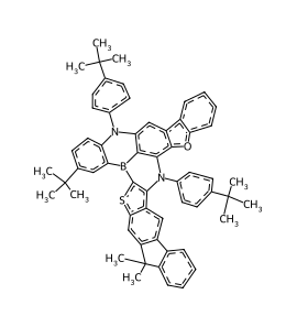 CC(C)(C)c1ccc(N2c3ccc(C(C)(C)C)cc3B3c4sc5cc6c(cc5c4N(c4ccc(C(C)(C)C)cc4)c4c3c2cc2c4oc3ccccc32)-c2ccccc2C6(C)C)cc1